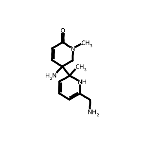 CN1CC(N)(C2(C)C=CC=C(CN)N2)C=CC1=O